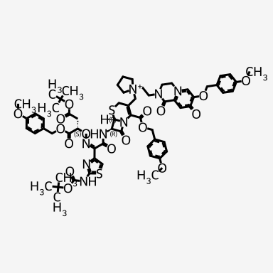 COc1ccc(COC(=O)C2=C(C[N+]3(CCN4CCn5cc(OCc6ccc(OC)cc6)c(=O)cc5C4=O)CCCC3)CS[C@@H]3[C@H](NC(=O)C(=NO[C@@H](CC(=O)OC(C)(C)C)C(=O)OCc4ccc(OC)cc4)c4csc(NC(=O)OC(C)(C)C)n4)C(=O)N23)cc1